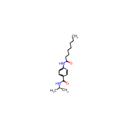 CCCCCCCC(=O)Nc1ccc(C(=O)NC(C)C)cc1